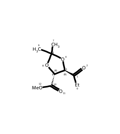 CCC(=O)[C@@H]1OC(C)(C)O[C@H]1C(=O)OC